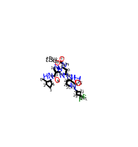 CC1CCCC1NC(=O)c1cnn2c(N(C)C(=O)OC(C)(C)C)cc(Nc3cccn(C4CC(F)(F)C4)c3=O)nc12